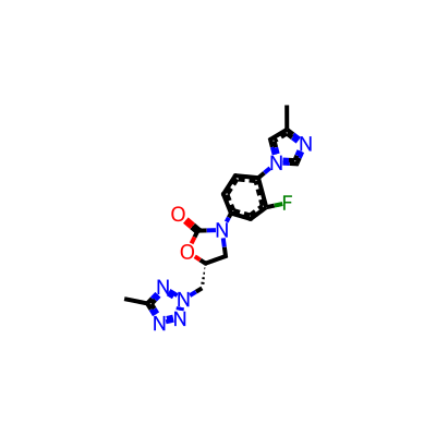 Cc1cn(-c2ccc(N3C[C@H](Cn4nnc(C)n4)OC3=O)cc2F)cn1